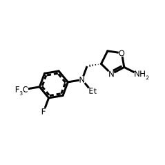 CCN(C[C@@H]1COC(N)=N1)c1ccc(C(F)(F)F)c(F)c1